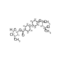 C[C@H](Cl)C[C@H](C)OC(=O)c1ccc(-c2ccc(O[C@@H](C)C[C@H](C)Cl)cc2)cc1